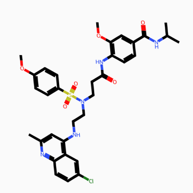 COc1ccc(S(=O)(=O)N(CCNc2cc(C)nc3ccc(Cl)cc23)CCC(=O)Nc2ccc(C(=O)NC(C)C)cc2OC)cc1